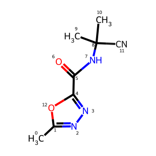 Cc1nnc(C(=O)NC(C)(C)C#N)o1